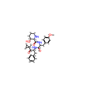 COc1ccc(CC(NC(=O)C2NCCCC2O)C(=O)NC(Cc2ccccc2)C(=O)C2(C)CC2)cc1